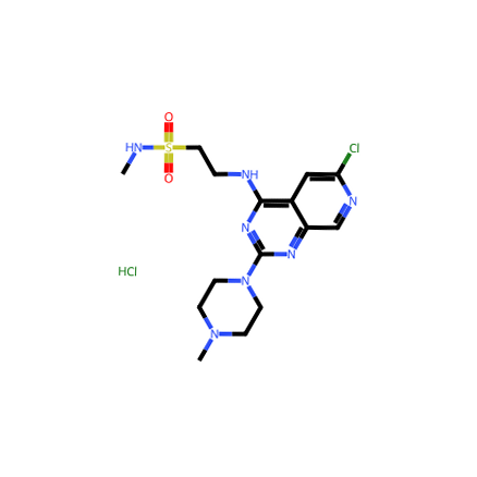 CNS(=O)(=O)CCNc1nc(N2CCN(C)CC2)nc2cnc(Cl)cc12.Cl